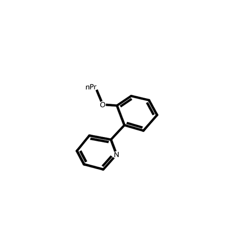 CCCOc1ccccc1-c1ccccn1